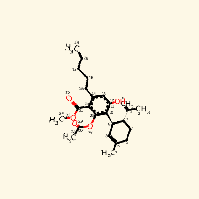 C=C(C)[C@@H]1CCC(C)=C[C@H]1c1c(O)cc(CCCCC)c(C(=O)OC)c1OC(C)=O